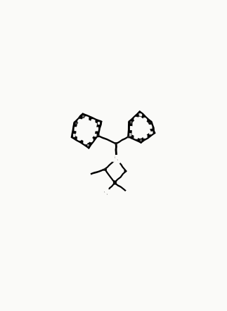 CC1N(C(c2ccccc2)c2ccccc2)CC1(C)N